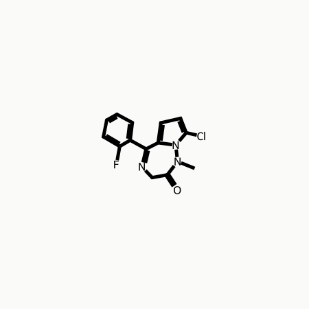 CN1C(=O)CN=C(c2ccccc2F)c2ccc(Cl)n21